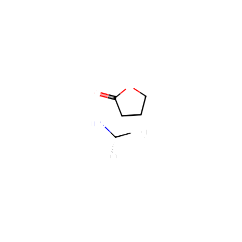 CC(C)[C@H](N)C(=O)O.O=C1CCCO1